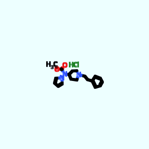 COC(=O)N(C1CCN(CCc2ccccc2)CC1)n1cccc1.Cl